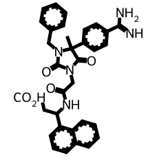 CC1(c2ccc(C(=N)N)cc2)C(=O)N(CC(=O)NC(CC(=O)O)c2cccc3ccccc23)C(=O)N1Cc1ccccc1